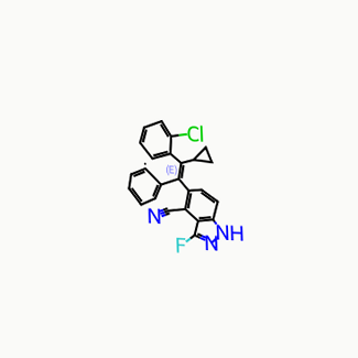 N#Cc1c(/C(=C(/c2ccccc2Cl)C2CC2)c2[c]cccc2)ccc2[nH]nc(F)c12